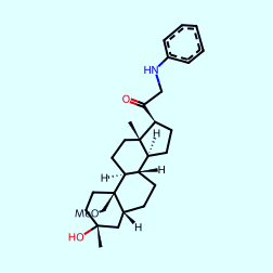 COC[C@]12CC[C@@](C)(O)C[C@H]1CC[C@H]1[C@@H]3CC[C@H](C(=O)CNc4ccccc4)[C@@]3(C)CC[C@@H]12